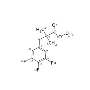 COC(=O)C(C)(C)Cc1cc(F)c(F)c(F)c1